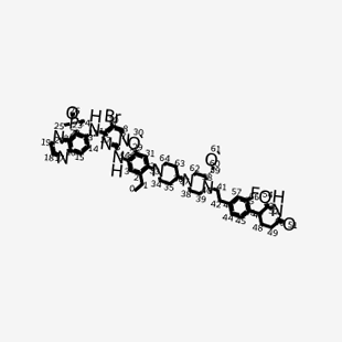 CCc1cc(Nc2ncc(Br)c(Nc3ccc4nccnc4c3P(C)(C)=O)n2)c(OC)cc1N1CCC(N2CCN(CCc3ccc(C4CCC(=O)NC4=O)c(F)c3)[C@@H](COC)C2)CC1